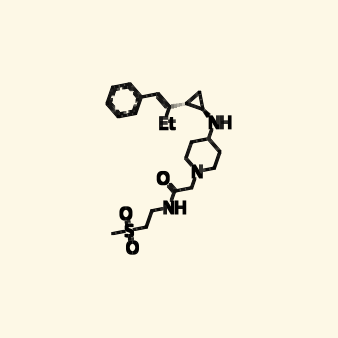 CC/C(=C\c1ccccc1)[C@@H]1C[C@H]1NC1CCN(CC(=O)NCCS(C)(=O)=O)CC1